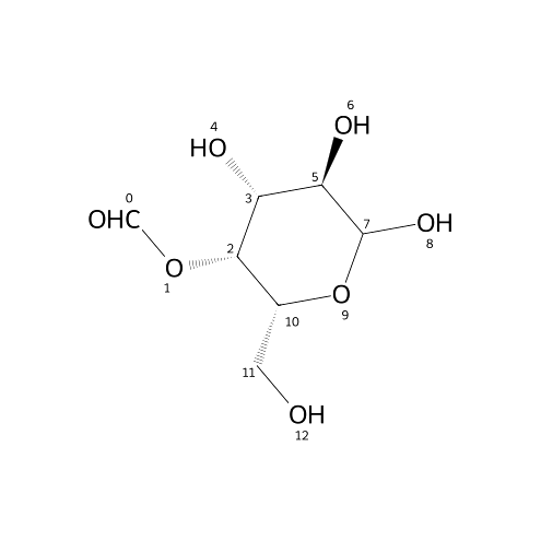 O=CO[C@@H]1[C@H](O)[C@@H](O)C(O)O[C@@H]1CO